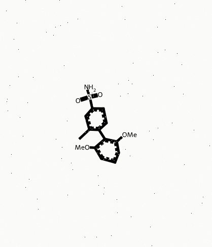 COc1cccc(OC)c1-c1ccc(S(N)(=O)=O)cc1C